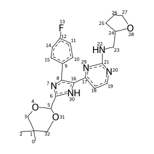 CC1(C)COC(c2nc(-c3ccc(F)cc3)c(-c3ccnc(NCC4CCCO4)n3)[nH]2)OC1